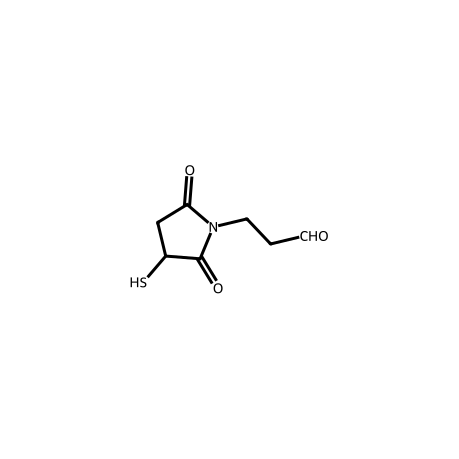 O=CCCN1C(=O)CC(S)C1=O